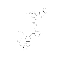 COCCOC(=O)Nc1cnc2sc3cc(Oc4ccccc4CNC(=O)Nc4cc(C(C)(C)C)nn4-c4ccc(O)c(Cl)c4)ccc3n12